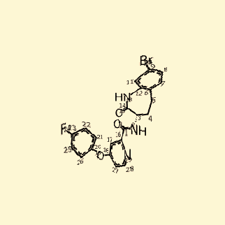 O=C(N[C@H]1CCc2ccc(Br)cc2NC1=O)c1cc(Oc2ccc(F)cc2)ccn1